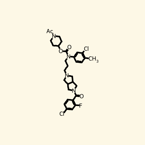 CC(=O)N1CCC(OC(=O)N(CCCN2CC3CN(C(=O)c4ccc(Cl)cc4F)CC3C2)c2ccc(C)c(Cl)c2)CC1